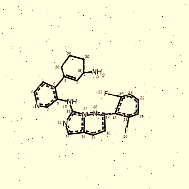 N[C@H]1C=C(c2ccncc2Nc2ncc3ccc(-c4c(F)cccc4F)nn23)CCC1